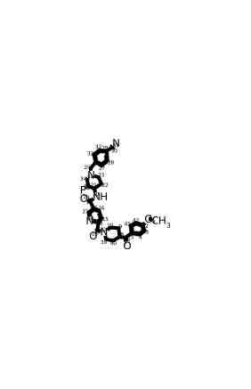 COc1ccc(C(=O)C2CCN(C(=O)c3ccc(C(=O)NC4CCN(Cc5ccc(C#N)cc5)C[C@H]4F)cn3)CC2)cc1